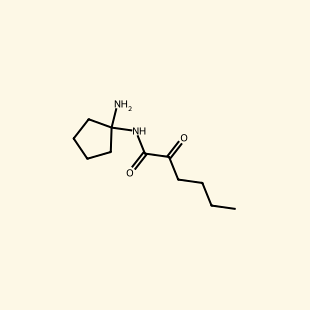 CCCCC(=O)C(=O)NC1(N)CCCC1